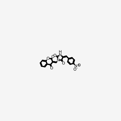 O=C1Oc2ccccc2C(=O)C1=CN1C(=O)NC(=Cc2ccc([N+](=O)[O-])cc2)C1=O